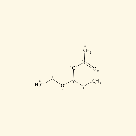 CCOC(CC)OC(C)=O